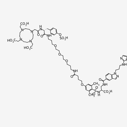 Cc1cc(OCCCC(=O)NCCCOCCOCCOCCCNC(=O)[C@@H](Cc2ccc(OS(=O)(=O)O)cc2)NC(=O)CN2CCN(CC(=O)O)CCN(CC(=O)O)CCN(CC(=O)O)CC2)cc(C)c1S(=O)(=O)NC(CNC(=O)c1ccc2c(cnn2CCCNc2ncc[nH]2)c1)C(=O)O